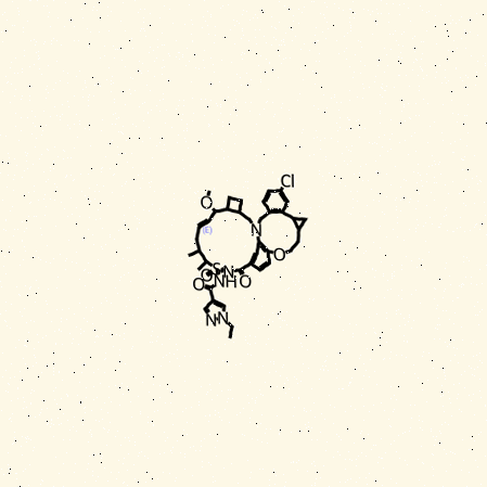 CCn1cc(C(=O)NS2(=O)=NC(=O)c3ccc4c(c3)N(Cc3ccc(Cl)cc3C3CC3CCO4)CC3CCC3C(OC)/C=C/CC(C)C2C)cn1